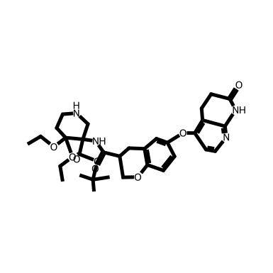 CCOC1(OCC)CCNCC1(NC(=O)C1COc2ccc(Oc3ccnc4c3CCC(=O)N4)cc2C1)C(=O)OC(C)(C)C